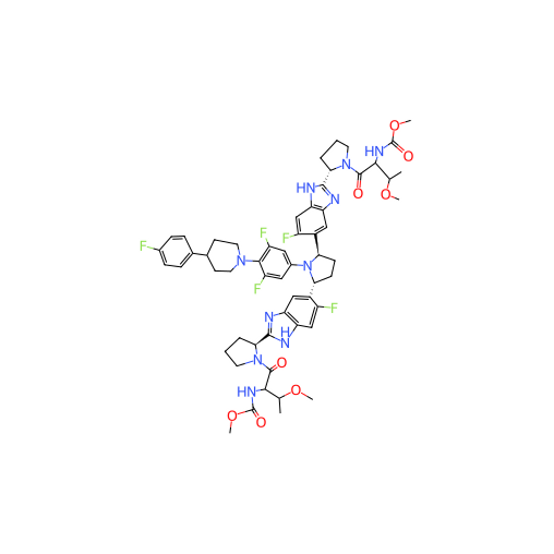 COC(=O)NC(C(=O)N1CCC[C@H]1c1nc2cc([C@H]3CC[C@H](c4cc5nc([C@@H]6CCCN6C(=O)C(NC(=O)OC)C(C)OC)[nH]c5cc4F)N3c3cc(F)c(N4CCC(c5ccc(F)cc5)CC4)c(F)c3)c(F)cc2[nH]1)C(C)OC